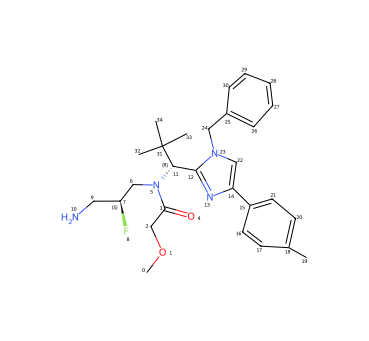 COCC(=O)N(C[C@@H](F)CN)[C@@H](c1nc(-c2ccc(C)cc2)cn1Cc1ccccc1)C(C)(C)C